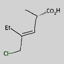 CC/C(=C\[C@H](C)C(=O)O)CCl